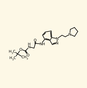 CC(C)(C)OC(=O)NCC(=O)Nc1cccc2c1cnn2CCN1CCCC1